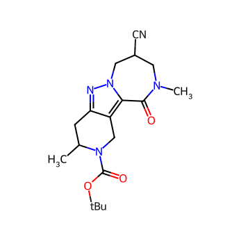 CC1Cc2nn3c(c2CN1C(=O)OC(C)(C)C)C(=O)N(C)CC(C#N)C3